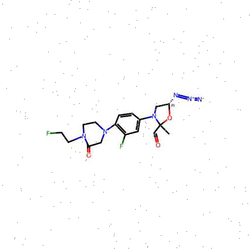 CC1(C=O)O[C@@H](N=[N+]=[N-])CN1c1ccc(N2CCN(CCF)C(=O)C2)c(F)c1